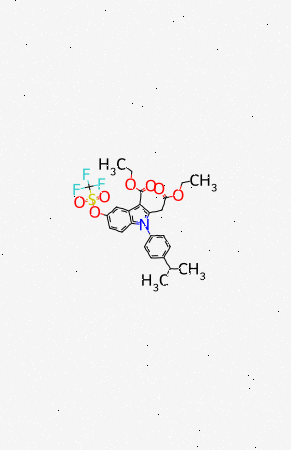 CCOC(=O)Cc1c(C(=O)OCC)c2cc(OS(=O)(=O)C(F)(F)F)ccc2n1-c1ccc(C(C)C)cc1